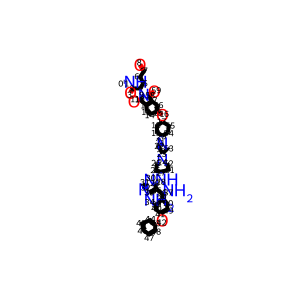 CNC(=O)C(CCC=O)N1C(=O)c2ccc(OC3CCC(N4CC(N5CCC(Nc6ncnc(N)c6C(N)c6ccc(Oc7ccccc7)cc6)CC5)C4)CC3)cc2C1=O